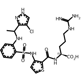 CC(Nc1ccccc1S(=O)(=O)Nc1ccsc1C(=O)N[C@@H](CCCNC(=N)N)C(=O)O)c1n[nH]cc1Cl